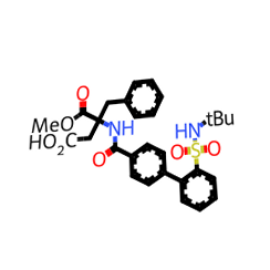 COC(=O)C(CC(=O)O)(Cc1ccccc1)NC(=O)c1ccc(-c2ccccc2S(=O)(=O)NC(C)(C)C)cc1